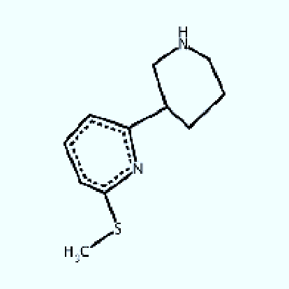 CSc1cccc(C2CCCNC2)n1